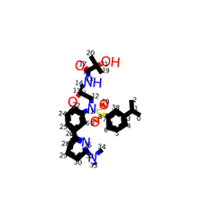 CC(C)c1cccc(S(=O)(=O)N2C[C@H](CNC(=O)C(C)(C)O)Oc3ccc(-c4cccc(N(C)C)n4)cc32)c1